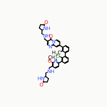 COc1nc(-c2cccc(-c3cccc(-c4ccn5c(=O)c(CNCC6CCC(=O)N6)cnc5c4)c3C)c2Cl)ccc1CNCC1CCC(=O)N1